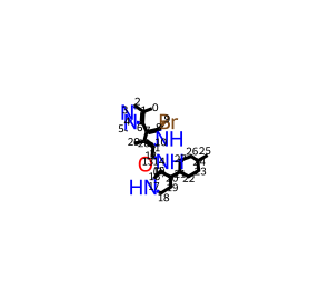 Cc1cnn(C)c1-c1c(Br)[nH]c(C(=O)N[C@H]2CNCCC2C2CCC(C)CC2)c1C